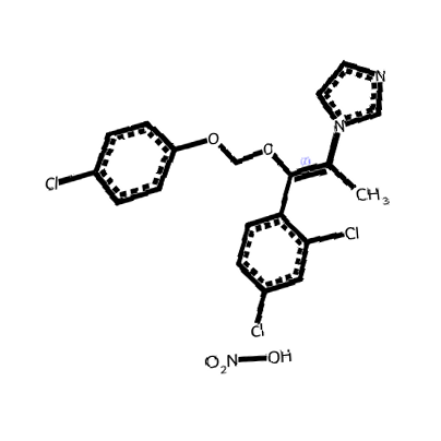 C/C(=C(/OCOc1ccc(Cl)cc1)c1ccc(Cl)cc1Cl)n1ccnc1.O=[N+]([O-])O